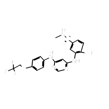 CNS(=O)(=O)c1ccc(O)c(Nc2cc(Nc3ccc(OCC(F)(F)F)cc3)ncn2)c1